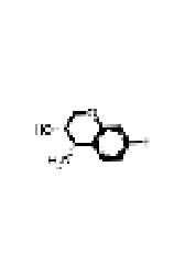 N[C@H]1c2ccc(F)cc2OC[C@H]1O